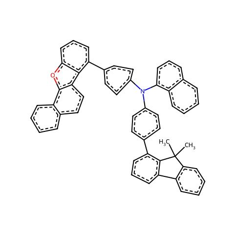 CC1(C)c2ccccc2-c2cccc(-c3ccc(N(c4ccc(-c5cccc6oc7c8ccccc8ccc7c56)cc4)c4cccc5ccccc45)cc3)c21